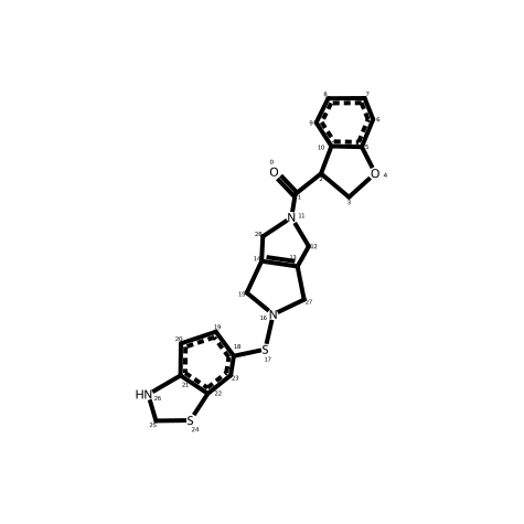 O=C(C1COc2ccccc21)N1CC2=C(CN(Sc3ccc4c(c3)SCN4)C2)C1